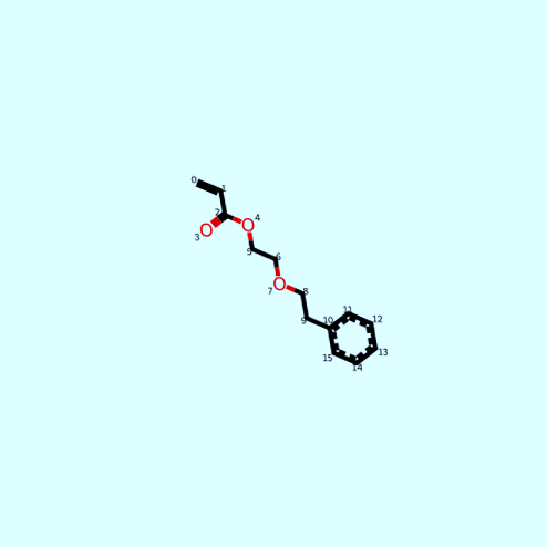 C=CC(=O)OCCOCCc1ccccc1